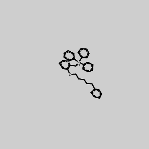 c1ccc(CCCCCOc2cccnc2C[PH](c2ccccc2)(c2ccccc2)c2ccccc2)cc1